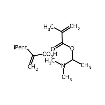 C=C(C(=O)O)C(C)CCC.C=C(C)C(=O)OC(C)N(C)C